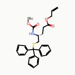 C=CCOC(=O)CC[C@H](CSC(c1ccccc1)(c1ccccc1)c1ccccc1)NC(=O)OC(C)(C)C